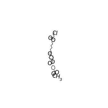 COC(=O)[C@H]1CC[C@H](C(=O)Oc2ccc(OCCCCCCOC(=O)CCCl)cc2)CC1